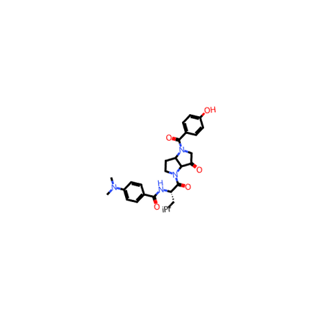 CC(C)C[C@H](NC(=O)c1ccc(N(C)C)cc1)C(=O)N1CCC2C1C(=O)CN2C(=O)c1ccc(O)cc1